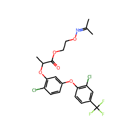 CC(C)=NOCCOC(=O)C(C)Oc1cc(Oc2ccc(C(F)(F)F)cc2Cl)ccc1Cl